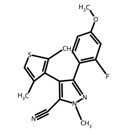 COc1ccc(-c2nn(C)c(C#N)c2-c2c(C)csc2C)c(F)c1